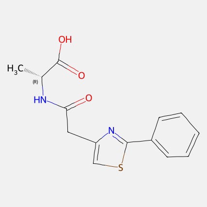 C[C@@H](NC(=O)Cc1csc(-c2ccccc2)n1)C(=O)O